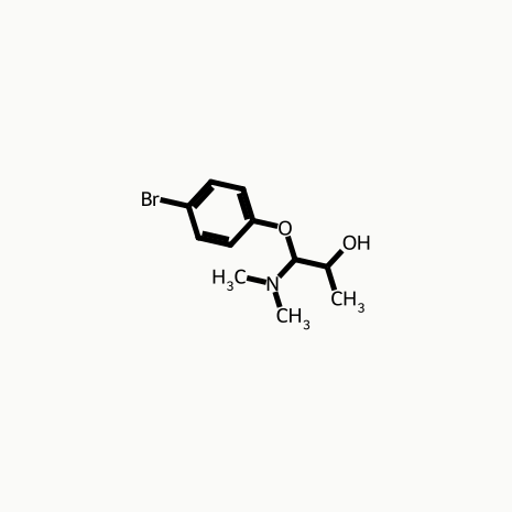 CC(O)C(Oc1ccc(Br)cc1)N(C)C